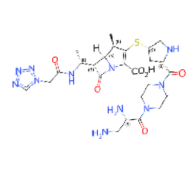 C[C@@H](NC(=O)Cn1cnnn1)[C@H]1C(=O)N2C(C(=O)O)=C(S[C@@H]3CN[C@H](C(=O)N4CCN(C(=O)[C@@H](N)CN)CC4)C3)[C@H](C)[C@H]12